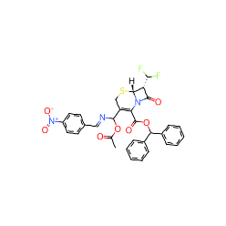 CC(=O)OC(N=Cc1ccc([N+](=O)[O-])cc1)C1=C(C(=O)OC(c2ccccc2)c2ccccc2)N2C(=O)[C@@H](C(F)F)[C@H]2SC1